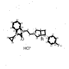 Cl.O=c1n(CCN2CC3C[C@H](c4ccc(F)cc4)[C@H]3C2)c2ccccc2n1C1CC1